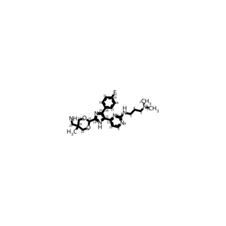 CN(C)CCCNc1nccc(-c2[nH]c(C3OCC(C)(CN)CO3)nc2-c2ccc(F)cc2)n1